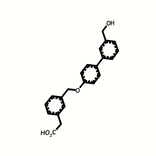 O=C(O)Cc1cccc(COc2ccc(-c3cccc(CO)c3)cc2)c1